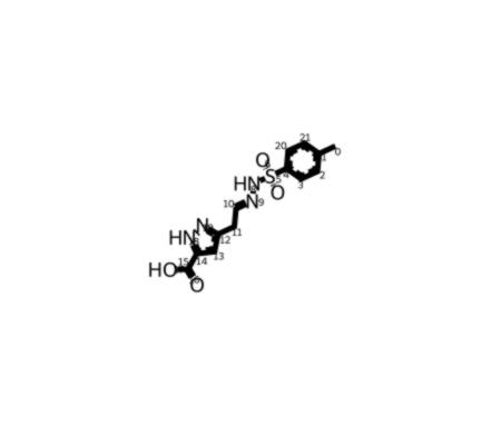 Cc1ccc(S(=O)(=O)NN=CCc2cc(C(=O)O)[nH]n2)cc1